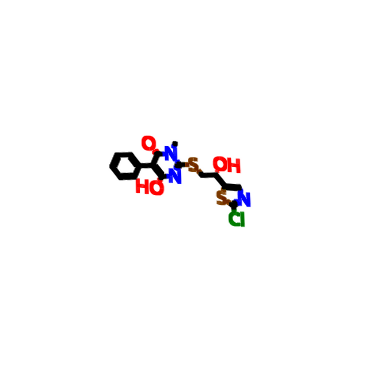 Cn1c(SC[C@H](O)c2cnc(Cl)s2)nc(O)c(-c2ccccc2)c1=O